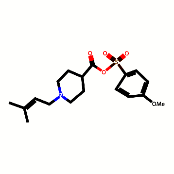 COc1ccc(S(=O)(=O)OC(=O)C2CCN(CC=C(C)C)CC2)cc1